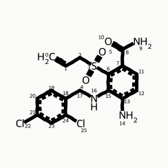 C=CCS(=O)(=O)c1c(C(N)=O)ccc(N)c1NCc1ccc(Cl)cc1Cl